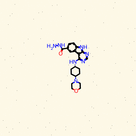 NNC(=O)c1ccc2[nH]c3ncnc(N[C@H]4CC[C@H](N5CCOCC5)CC4)c3c2c1